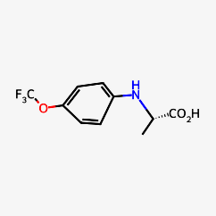 C[C@H](Nc1ccc(OC(F)(F)F)cc1)C(=O)O